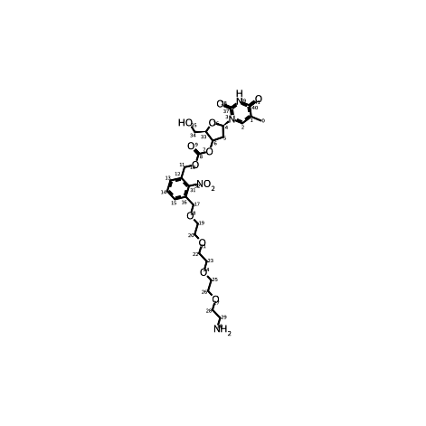 Cc1cn([C@H]2CC(OC(=O)OCc3cccc(COCCOCCOCCOCCN)c3[N+](=O)[O-])[C@@H](CO)O2)c(=O)[nH]c1=O